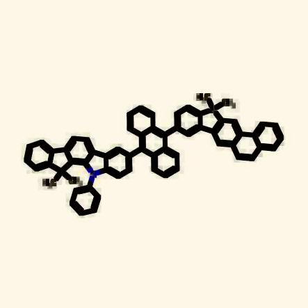 CC1(C)c2ccccc2-c2ccc3c4cc(-c5c6ccccc6c(-c6ccc7c(c6)-c6cc8ccc9ccccc9c8cc6[Si]7(C)C)c6ccccc56)ccc4n(-c4ccccc4)c3c21